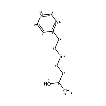 CC(O)CCSCCc1ccncn1